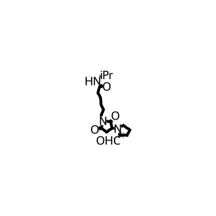 CC(C)NC(=O)CCCCCN1C(=O)CC(N2CCC[C@H]2C=O)C1=O